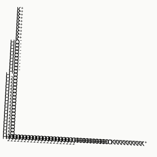 O.O.O.O.O.O.O.O.O.O.O.O.O.O.O.O.O.O.O.O.O.O.O.O.O.O.O.O.O.O.O.O.O.O.O.O.O.O.O.O.[K+].[K+].[K+].[K+].[K+].[K+].[K+].[K+].[K+].[K+].[K+].[K+].[K+].[K+].[K+].[K+].[K+].[K+].[K+].[K+].[OH-].[OH-].[OH-].[OH-].[OH-].[OH-].[OH-].[OH-].[OH-].[OH-].[OH-].[OH-].[OH-].[OH-].[OH-].[OH-].[OH-].[OH-].[OH-].[OH-]